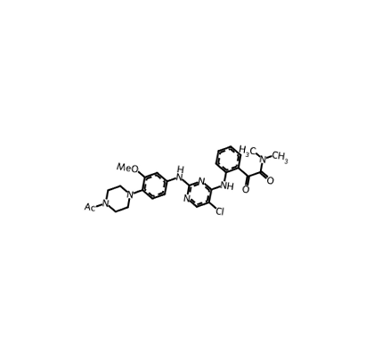 COc1cc(Nc2ncc(Cl)c(Nc3ccccc3C(=O)C(=O)N(C)C)n2)ccc1N1CCN(C(C)=O)CC1